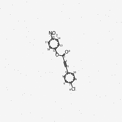 O=C(C#Cc1ccc(Cl)cc1)Oc1ccc([N+](=O)[O-])cc1